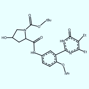 CCCOc1ccc(NC(=O)C2CC(O)CN2C(=O)OC(C)(C)C)cc1-c1nc(CC)c(CC)c(=O)[nH]1